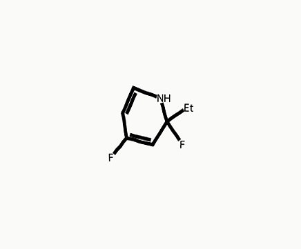 [CH2]CC1(F)C=C(F)C=CN1